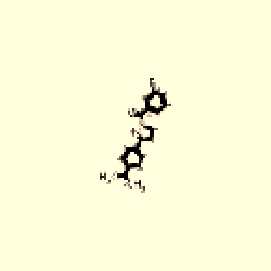 CC(C)c1ccc(C2=NN(C(=O)c3cccc(F)c3)CC2)cc1